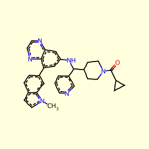 Cn1ccc2ccc(-c3cc(NC(c4cccnc4)C4CCN(C(=O)C5CC5)CC4)cc4nccnc34)cc21